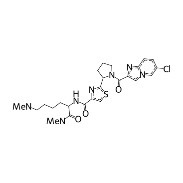 CNCCCCC(NC(=O)c1csc(C2CCCN2C(=O)c2cn3cc(Cl)ccc3n2)n1)C(=O)NC